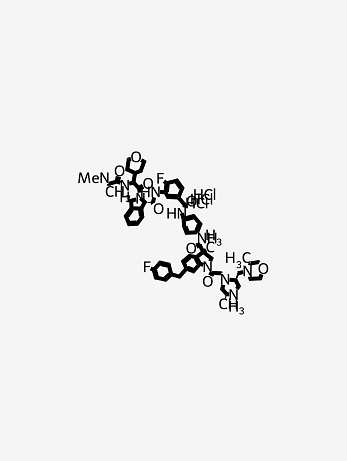 CNC(C)C(=O)NC(C(=O)N1Cc2ccccc2[C@H]1C(=O)Nc1cc(C(=O)Nc2ccc(NC(=O)C3(C)CN(C(=O)CN4C[C@@H](C)NC[C@@H]4CN4CCOCC4C)c4cc(Cc5ccc(F)cc5)ccc43)cc2)ccc1F)C1CCOCC1.Cl.Cl.Cl